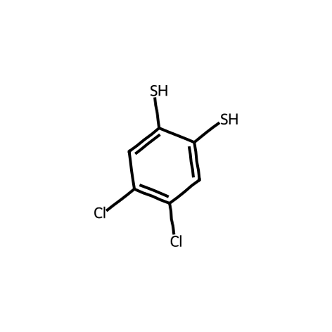 Sc1cc(Cl)c(Cl)cc1S